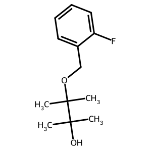 CC(C)(O)C(C)(C)OCc1ccccc1F